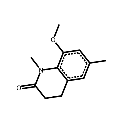 COc1cc(C)cc2c1N(C)C(=O)CC2